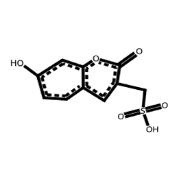 O=c1oc2cc(O)ccc2cc1CS(=O)(=O)O